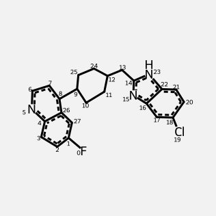 Fc1ccc2nccc(C3CCC(Cc4nc5cc(Cl)ccc5[nH]4)CC3)c2c1